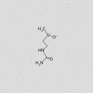 C[S+]([O-])CCNC(N)=O